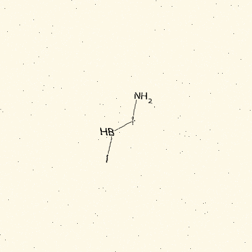 N[I]BI